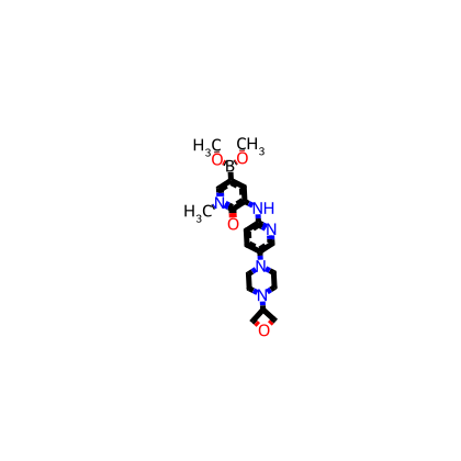 COB(OC)c1cc(Nc2ccc(N3CCN(C4COC4)CC3)cn2)c(=O)n(C)c1